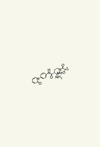 COC1(C(=O)N2CCC(C(=O)Nc3ccc(-n4ccccc4=O)cc3)C(N)C2)CC1